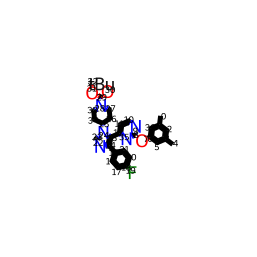 Cc1cc(C)cc(Oc2nccc(-c3c(-c4ccc(F)cc4)ncn3C3CCN(C(=O)OC(C)(C)C)CC3)n2)c1